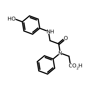 O=C(O)CN(C(=O)CNc1ccc(O)cc1)c1ccccc1